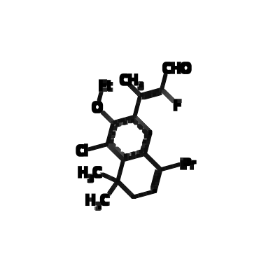 CCOc1c(C(C)=C(F)C=O)cc2c(c1Cl)C(C)(C)CC=C2C(C)C